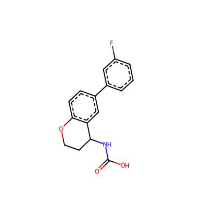 O=C(O)NC1CCOc2ccc(-c3cccc(F)c3)cc21